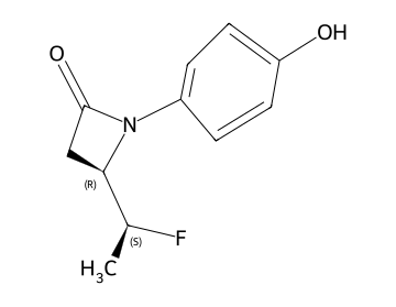 C[C@H](F)[C@H]1CC(=O)N1c1ccc(O)cc1